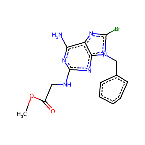 COC(=O)CNc1nc(N)c2nc(Br)n(Cc3ccccc3)c2n1